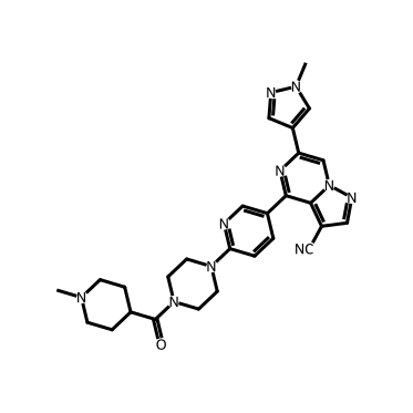 CN1CCC(C(=O)N2CCN(c3ccc(-c4nc(-c5cnn(C)c5)cn5ncc(C#N)c45)cn3)CC2)CC1